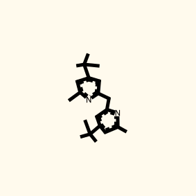 Cc1cc(C(C)(C)C)cc(Cc2cc(C(C)(C)C)cc(C)n2)n1